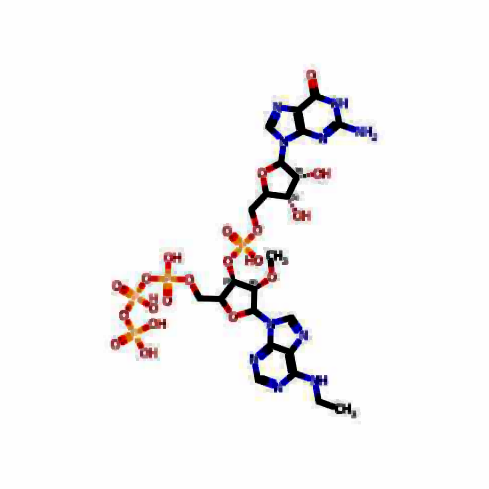 CCNc1ncnc2c1ncn2C1OC(COP(=O)(O)OP(=O)(O)OP(=O)(O)O)[C@@H](OP(=O)(O)OCC2OC(n3cnc4c(=O)[nH]c(N)nc43)[C@H](O)[C@@H]2O)[C@H]1OC